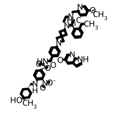 COc1ccc(CN2CCN(C3CC4(C3)CN(c3ccc(C(=O)NS(=O)(=O)c5ccc(NC[C@H]6CC[C@](C)(O)CC6)c([N+](=O)[O-])c5)c(Oc5cnc6[nH]ccc6c5)c3)C4)[C@H](c3ccccc3C(C)C)C2)nc1